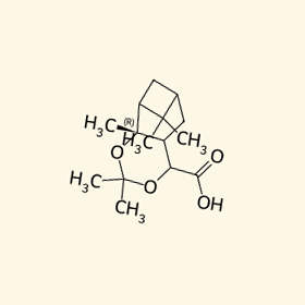 CC1(C)OC(C(=O)O)C2CC3CC(C3(C)C)[C@@]2(C)O1